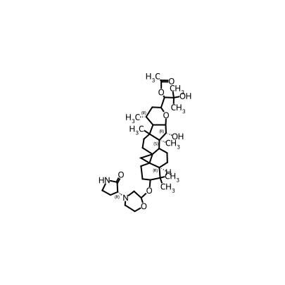 CC(=O)OC(C1C[C@@H](C)C2C(O1)[C@H](O)[C@@]1(C)C3CC[C@H]4C(C)(C)C(OC5CN([C@@H]6CCNC6=O)CCO5)CCC45CC35CCC21C)C(C)(C)O